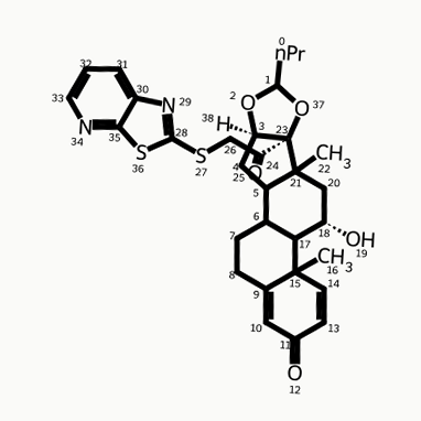 CCCC1O[C@@H]2CC3C4CCC5=CC(=O)C=CC5(C)C4[C@@H](O)CC3(C)[C@]2(C(=O)CSc2nc3cccnc3s2)O1